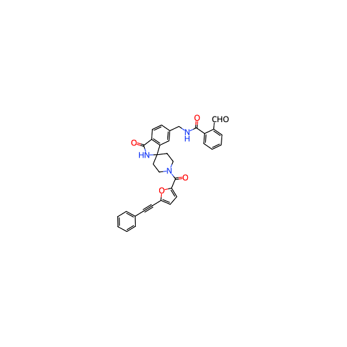 O=Cc1ccccc1C(=O)NCc1ccc2c(c1)C1(CCN(C(=O)c3ccc(C#Cc4ccccc4)o3)CC1)NC2=O